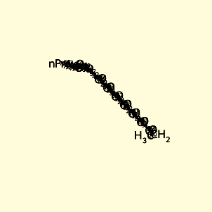 C=C(C)C(=O)OCCCCC(=O)OCCCCC(=O)OCCCCC(=O)OCCCCC(=O)OCCCCC(=O)OCCCCC(=O)OCCCCCCOc1ccc(C(=O)Oc2ccc(C3CCC(CCC)CC3)cc2)cc1